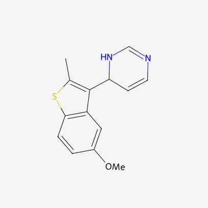 COc1ccc2sc(C)c(C3C=CN=CN3)c2c1